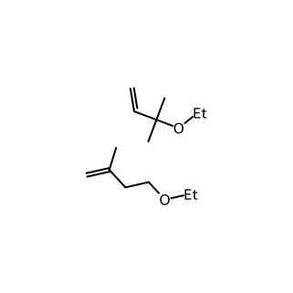 C=C(C)CCOCC.C=CC(C)(C)OCC